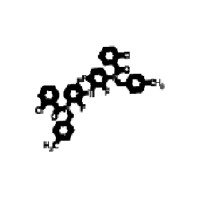 Cc1ccc(CN(C(=O)c2ccccc2Cl)c2ccc(F)[c]([Ti][c]3c(F)ccc(N(Cc4ccc(C)cc4)C(=O)c4ccccc4Cl)c3F)c2F)cc1